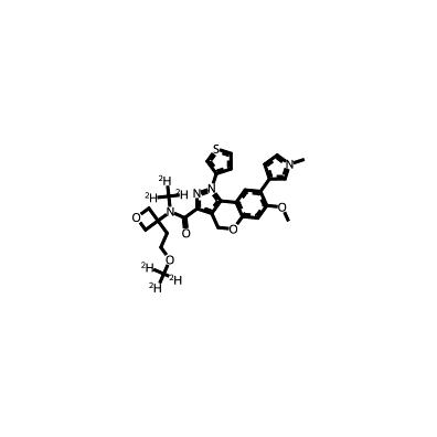 [2H]C([2H])([2H])OCCC1(N(C(=O)c2nn(-c3ccsc3)c3c2COc2cc(OC)c(-c4ccn(C)c4)cc2-3)C([2H])([2H])[2H])COC1